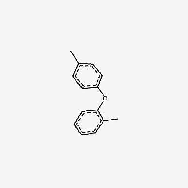 Cc1ccc(Oc2ccccc2C)cc1